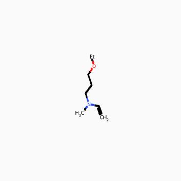 C=CN(C)CCCOCC